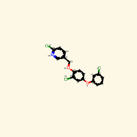 Clc1cccc(Oc2ccc(OCc3ccc(Cl)nc3)c(Cl)c2)c1